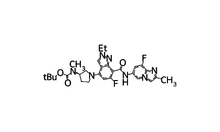 CCn1cc2c(N3CC[C@@H](N(C)C(=O)OC(C)(C)C)C3)cc(F)c(C(=O)Nc3cc(F)c4nc(C)cn4c3)c2n1